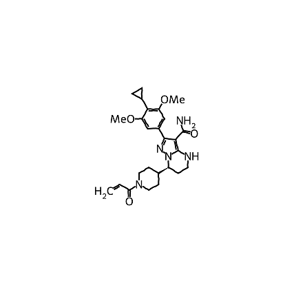 C=CC(=O)N1CCC([C@@H]2CCNc3c(C(N)=O)c(-c4cc(OC)c(C5CC5)c(OC)c4)nn32)CC1